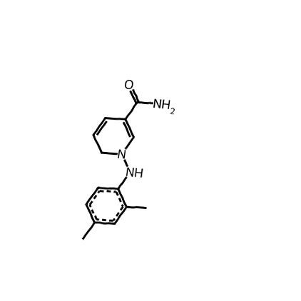 Cc1ccc(NN2C=C(C(N)=O)C=CC2)c(C)c1